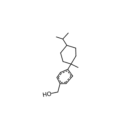 CC(C)C1CCC(C)(c2ccc(CO)cc2)CC1